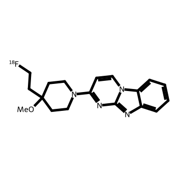 COC1(CC[18F])CCN(c2ccn3c(n2)nc2ccccc23)CC1